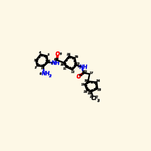 Nc1ccccc1NC(=O)c1ccc(NC(=O)Cc2ccc(C(F)(F)F)cc2)cc1